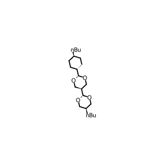 CCCC[C@H]1CC[C@H]([C@H]2OC[C@H]([C@H]3OC[C@H](CCCC)CO3)CO2)CC1